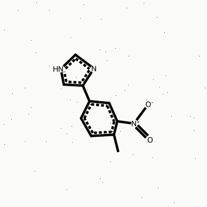 Cc1ccc(-c2c[nH]cn2)cc1[N+](=O)[O-]